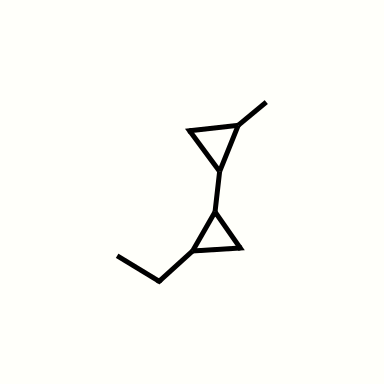 CCC1C[C]1C1CC1C